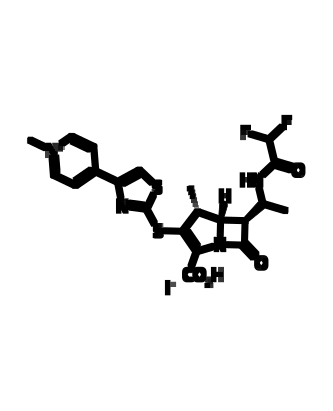 CC(NC(=O)C(F)F)[C@H]1C(=O)N2C(C(=O)O)=C(Sc3nc(-c4cc[n+](C)cc4)cs3)[C@H](C)[C@H]12.[I-]